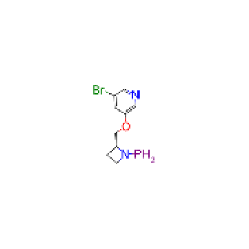 PN1CC[C@H]1COc1cncc(Br)c1